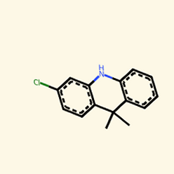 CC1(C)c2ccccc2Nc2cc(Cl)ccc21